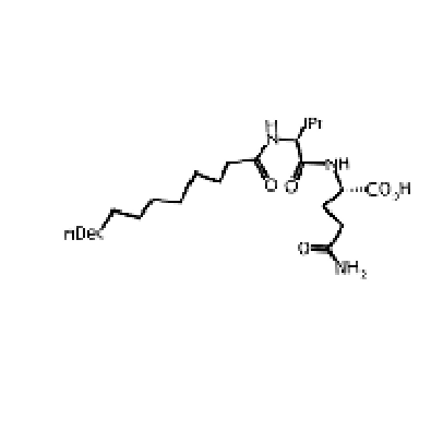 CCCCCCCCCCCCCCCCCC(=O)N[C@H](C(=O)N[C@@H](CCC(N)=O)C(=O)O)C(C)C